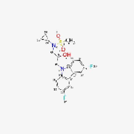 CS(=O)(=O)N(CC(O)Cn1c2ccc(F)cc2c2cc(F)ccc21)C1CC1